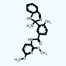 COc1ccc(NC(=O)c2ccc(C)c(C3(N)N=Cc4ccccc4N3)c2)c(OC)n1